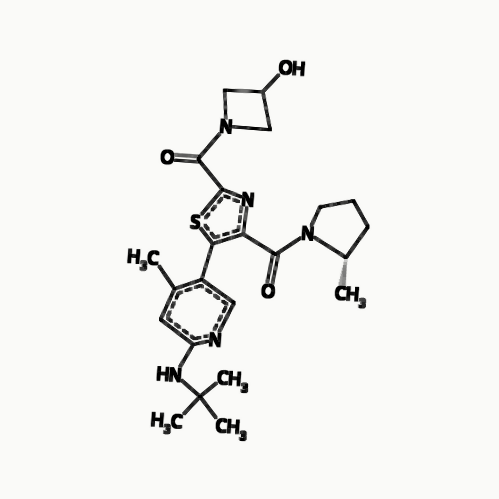 Cc1cc(NC(C)(C)C)ncc1-c1sc(C(=O)N2CC(O)C2)nc1C(=O)N1CCC[C@@H]1C